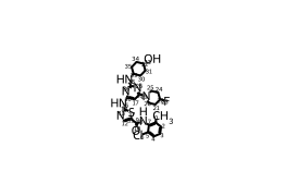 Cc1cccc(Cl)c1NC(=O)c1cnc(Nc2cc(N3CCC(F)CC3)nc(NC3CCC(O)CC3)n2)s1